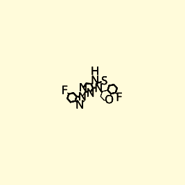 Fc1ccc2ncn(-c3ncc4[nH]c(=S)n(C5CCOc6c(F)cccc65)c4n3)c2c1